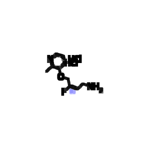 Cc1ncccc1OC/C(F)=C\CN.Cl.Cl